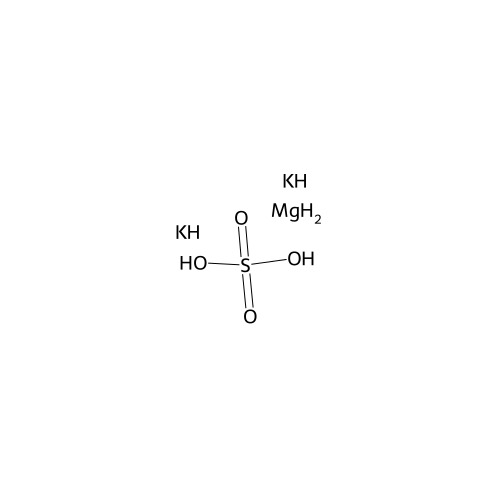 O=S(=O)(O)O.[KH].[KH].[MgH2]